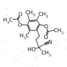 CC(=O)Oc1c(C)c(C)c(OC(C)=O)c(CCC(C)(O)C#N)c1C